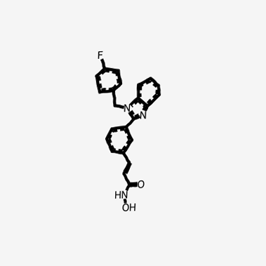 O=C(/C=C/c1cccc(-c2nc3ccccc3n2Cc2ccc(F)cc2)c1)NO